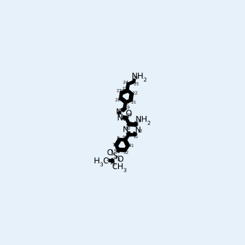 CC(C)S(=O)(=O)c1ccc(-c2cnc(N)c(-c3nnc(-c4ccc(CCN)cc4)o3)n2)cc1